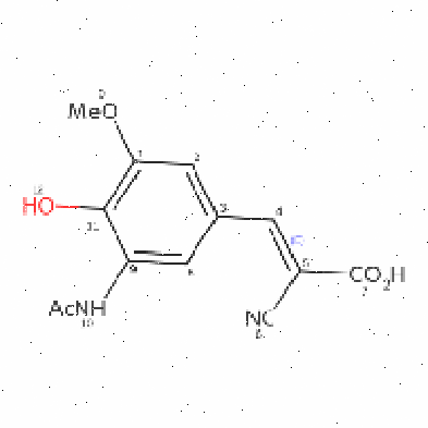 COc1cc(/C=C(\C#N)C(=O)O)cc(NC(C)=O)c1O